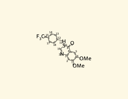 COc1cc2c(cc1OC)C(=O)[SH](Cc1ccc(C(F)(F)F)cc1)C=N2